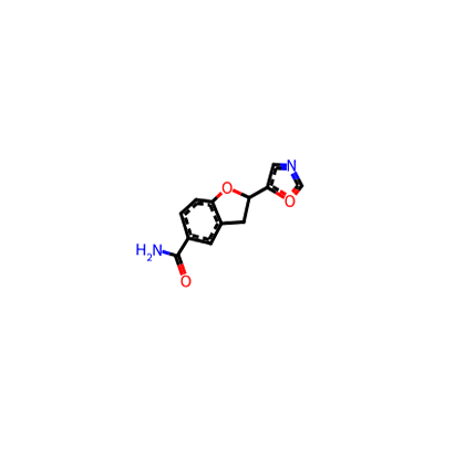 NC(=O)c1ccc2c(c1)CC(c1cnco1)O2